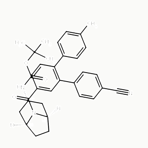 Cc1ccc(-c2ccc(C(=O)N3[C@@H]4CC[C@H]3C[C@H](NC(=O)OC(C)(C)C)C4)cc2-c2ccc(C#N)cc2)cc1